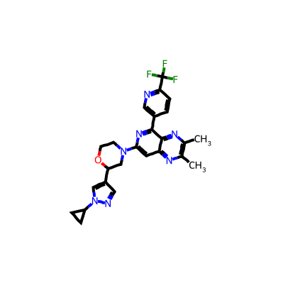 Cc1nc2cc(N3CCOC(c4cnn(C5CC5)c4)C3)nc(-c3ccc(C(F)(F)F)nc3)c2nc1C